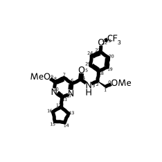 COC[C@@H](NC(=O)c1cc(OC)nc(C2CCCC2)n1)c1ccc(OC(F)(F)F)cc1